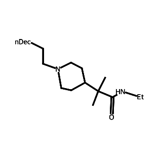 CCCCCCCCCCCCN1CCC(C(C)(C)C(=O)NCC)CC1